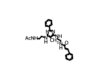 CC(=O)NCCNc1nc(-c2ccccc2)nc(NCCNC(=O)C=Cc2ccccc2)c1C